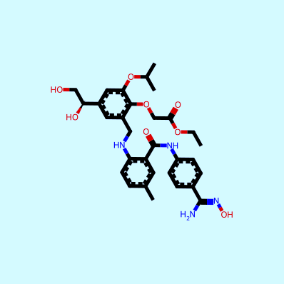 CCOC(=O)COc1c(CNc2ccc(C)cc2C(=O)Nc2ccc(/C(N)=N/O)cc2)cc([C@@H](O)CO)cc1OC(C)C